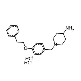 Cl.Cl.NC1CCN(Cc2ccc(OCCc3ccccc3)cc2)CC1